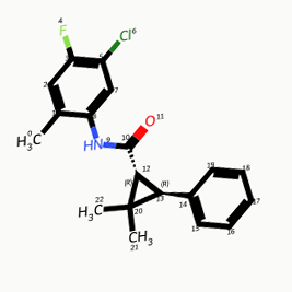 Cc1cc(F)c(Cl)cc1NC(=O)[C@@H]1[C@@H](c2ccccc2)C1(C)C